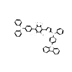 Nc1c(N)c(-c2ccc(N(c3ccccc3)C3C=CC(n4c5ccccc5c5ccccc54)=CC3)s2)c2nsnc2c1-c1ccc(N(c2ccccc2)c2ccccc2)cc1